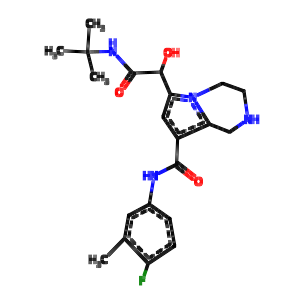 Cc1cc(NC(=O)c2cc(C(O)C(=O)NC(C)(C)C)n3c2CNCC3)ccc1F